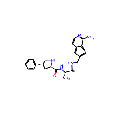 C[C@H](NC(=O)[C@H]1C[C@H](c2ccccc2)CN1)C(=O)NCc1ccc2c(N)nccc2c1